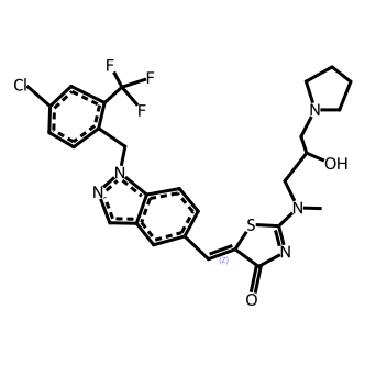 CN(CC(O)CN1CCCC1)C1=NC(=O)/C(=C/c2ccc3c(cnn3Cc3ccc(Cl)cc3C(F)(F)F)c2)S1